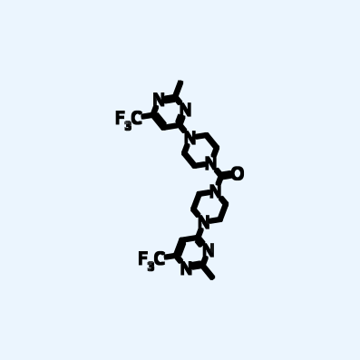 Cc1nc(N2CCN(C(=O)N3CCN(c4cc(C(F)(F)F)nc(C)n4)CC3)CC2)cc(C(F)(F)F)n1